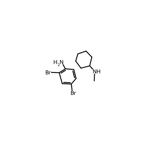 CNC1CCCCC1.Nc1ccc(Br)cc1Br